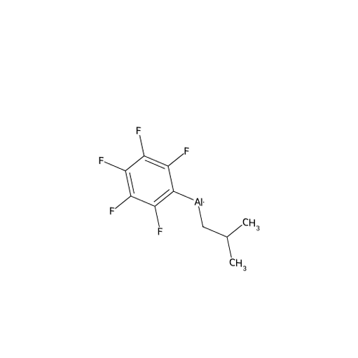 CC(C)[CH2][Al][c]1c(F)c(F)c(F)c(F)c1F